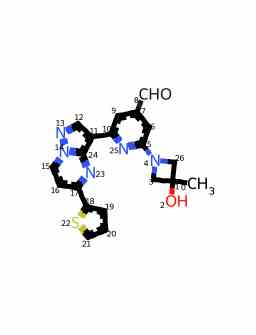 CC1(O)CN(c2cc(C=O)cc(-c3cnn4ccc(-c5cccs5)nc34)n2)C1